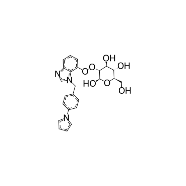 OC[C@H]1O[C@@H](O)[C@H](OOc2cccc3ncn(Cc4ccc(-n5cccc5)cc4)c23)[C@@H](O)[C@@H]1O